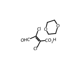 C1COCCO1.O=CC(Cl)=C(Cl)C(=O)O